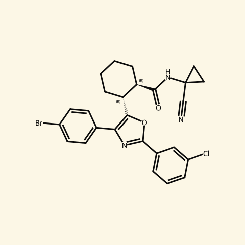 N#CC1(NC(=O)[C@@H]2CCCC[C@H]2c2oc(-c3cccc(Cl)c3)nc2-c2ccc(Br)cc2)CC1